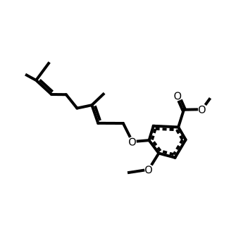 COC(=O)c1ccc(OC)c(OC/C=C(\C)CCC=C(C)C)c1